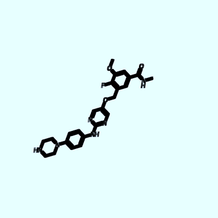 CNC(=O)c1cc(COc2cnc(Nc3ccc(N4CCNCC4)cc3)nc2)c(F)c(OC)c1